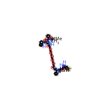 CNC(C)C(=O)NC(C(=O)N1C[C@@H](NC(=O)CCOCCOCCOCCOCCOCCC(=O)N2CC(C(c3ccccc3)n3cc(NC(=O)c4n[nH]c5c4C[C@@H]4C(F)(F)[C@]4(C)C5)cn3)C2)C[C@H]1C(=O)N[C@@H]1CCCc2ccccc21)C1CCCCC1